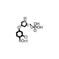 CCCCCCCCc1ccc(O[C@@H]2CN[C@H](COP(=O)(O)O)C2)cc1Cl